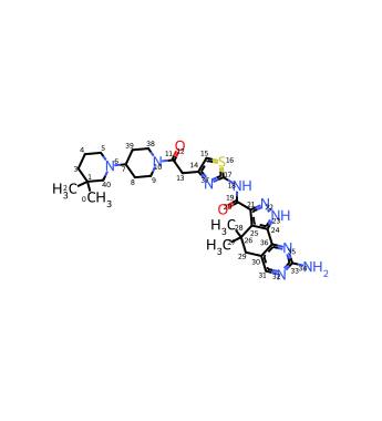 CC1(C)CCCN(C2CCN(C(=O)Cc3csc(NC(=O)c4n[nH]c5c4C(C)(C)Cc4cnc(N)nc4-5)n3)CC2)C1